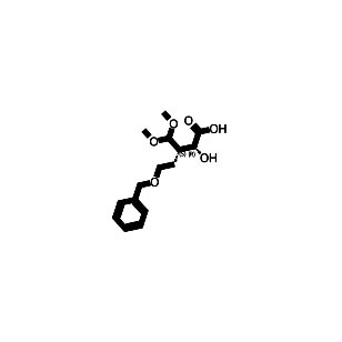 COC(OC)[C@@H](CCOCc1ccccc1)[C@@H](O)C(=O)O